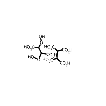 O=C(O)C(C(=O)O)C(C(=O)O)C(=O)O.O=C(O)C(OO)C(OO)C(=O)O